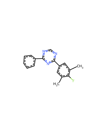 Cc1cc(-c2ncnc(-c3ccccc3)n2)cc(C)c1F